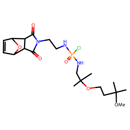 COC(C)(C)CCOC(C)(C)CNP(=O)(Cl)NCCN1C(=O)C2C3C=CC(O3)C2C1=O